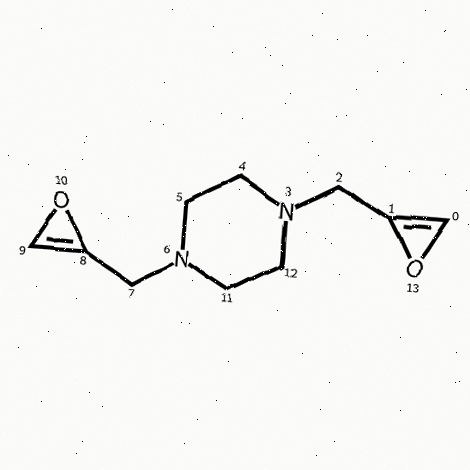 C1=C(CN2CCN(CC3=CO3)CC2)O1